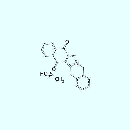 CS(=O)(=O)O.O=C1c2ccccc2C(=O)c2c1cn1c2Cc2ccccc2C1